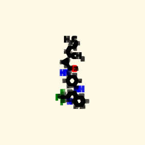 C=C(/C=C\C=C/C)[C@H]1C[C@@H]1C(=O)N[C@H]1CC[C@@H](Nc2cc(C(F)(F)F)nc3ccccc23)CC1